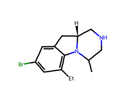 CCc1cc(Br)cc2c1N1C(C)CNC[C@H]1C2